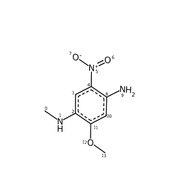 CNc1cc([N+](=O)[O-])c(N)cc1OC